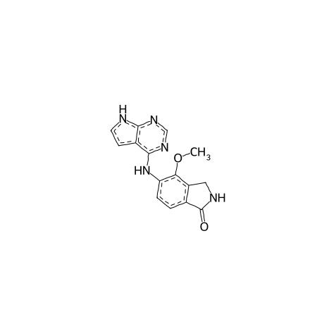 COc1c(Nc2ncnc3[nH]ccc23)ccc2c1CNC2=O